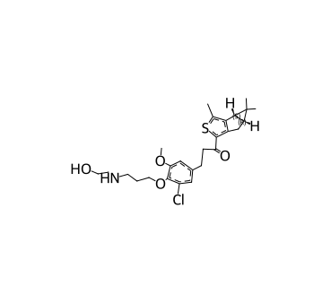 COc1cc(CCC(=O)c2sc(C)c3c2C[C@@H]2[C@H]3C2(C)C)cc(Cl)c1OCCCNCCO